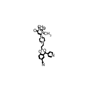 Cn1c(N2CCN(CCCOc3ccc(C#N)cc3C(=O)c3ccncc3)CC2)cc(=O)n(C)c1=O